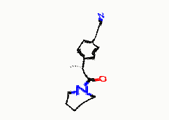 [CH2][C@@H](C(=O)N1CCCC1)c1ccc(C#N)cc1